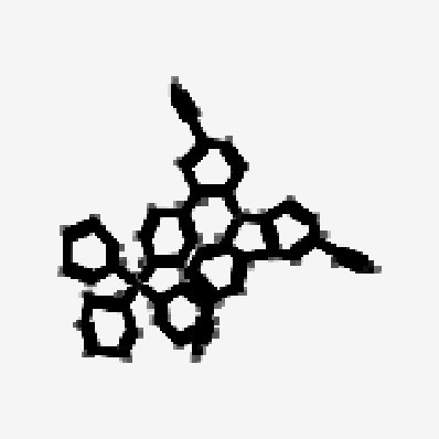 N#Cc1ccc(-n2c3ccc(C#N)cc3c3cc(C#N)ccc32)c(-c2ccc([Si](c3ccccc3)(c3ccccc3)c3ccccc3)cc2)c1